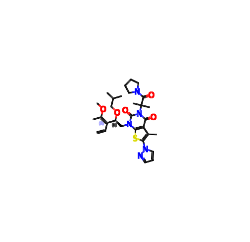 C=C/C(=C(\C)OC)[C@H](Cn1c(=O)n(C(C)(C)C(=O)N2CCCC2)c(=O)c2c(C)c(-n3cccn3)sc21)OCC(C)C